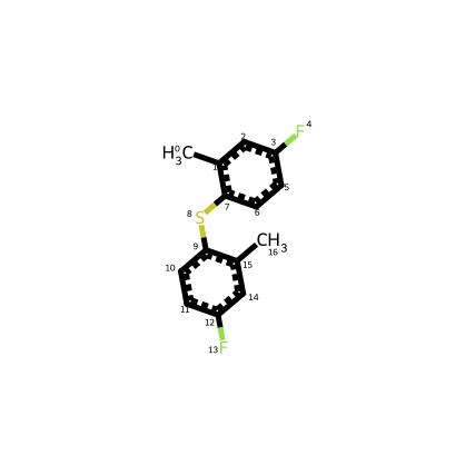 Cc1cc(F)ccc1Sc1ccc(F)cc1C